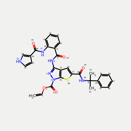 C=COC(=O)n1nc(NC(=O)c2ccccc2NC(=O)c2cc[nH]c2)c2cc(C(=O)NC(C)(C)c3ccccc3)sc21